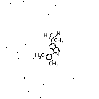 Cc1cc(C)cc(-c2nccc3cc(CC(C)(C)C#N)ccc23)c1